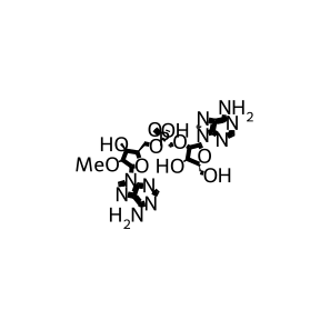 CO[C@H]1C(n2cnc3c(N)ncnc32)O[C@H](COP(=O)(O)COC2[C@@H](O)[C@@H](CO)O[C@H]2n2cnc3c(N)ncnc32)[C@@H]1O